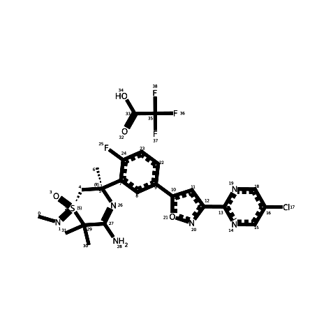 CN=[S@]1(=O)C[C@@](C)(c2cc(-c3cc(-c4ncc(Cl)cn4)no3)ccc2F)N=C(N)C1(C)C.O=C(O)C(F)(F)F